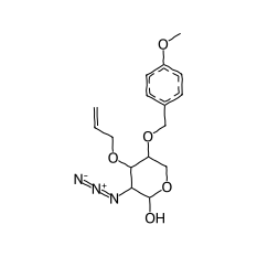 C=CCOC1C(OCc2ccc(OC)cc2)COC(O)C1N=[N+]=[N-]